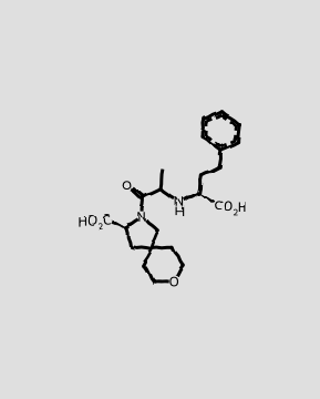 CC(N[C@@H](CCc1ccccc1)C(=O)O)C(=O)N1CC2(CCOCC2)C[C@H]1C(=O)O